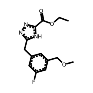 CCOC(=O)c1nnc(Cc2cc(F)cc(COC)c2)[nH]1